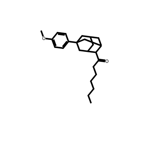 CCCCCCC(=O)C1C2CC3CC1CC(c1ccc(OC)cc1)(C3)C2